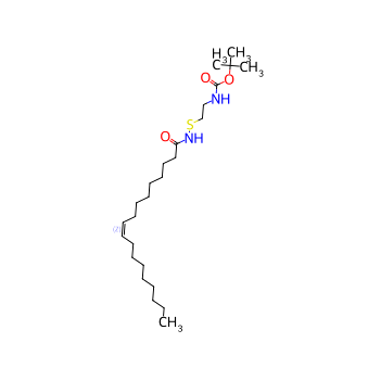 CCCCCCCC/C=C\CCCCCCCC(=O)NSCCNC(=O)OC(C)(C)C